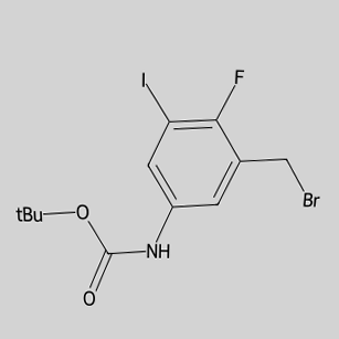 CC(C)(C)OC(=O)Nc1cc(I)c(F)c(CBr)c1